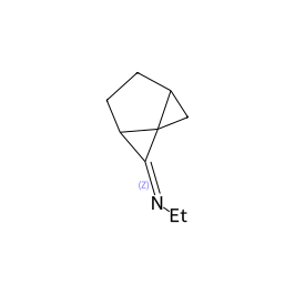 CC/N=C1/C2CCC3CC132